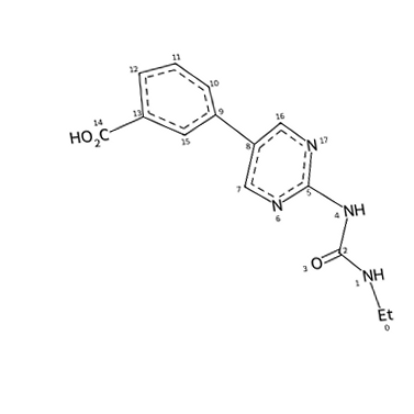 CCNC(=O)Nc1ncc(-c2cccc(C(=O)O)c2)cn1